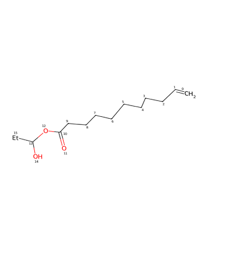 C=CCCCCCCCCC(=O)OC(O)CC